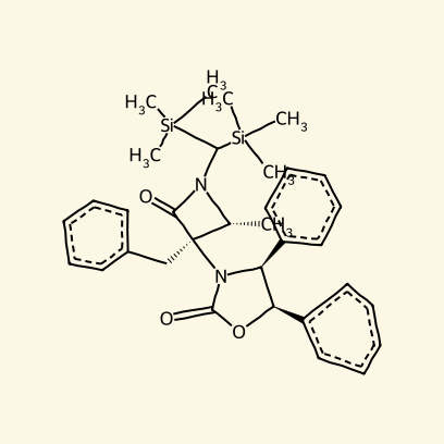 C[C@H]1N(C([Si](C)(C)C)[Si](C)(C)C)C(=O)[C@]1(Cc1ccccc1)N1C(=O)O[C@H](c2ccccc2)[C@@H]1c1ccccc1